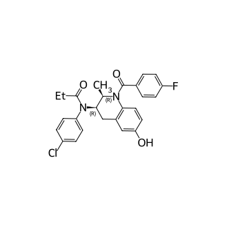 CCC(=O)N(c1ccc(Cl)cc1)[C@@H]1Cc2cc(O)ccc2N(C(=O)c2ccc(F)cc2)[C@@H]1C